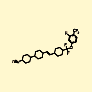 CCCCC1CCC(C2CCC(/C=C/C3CCC(C(F)(F)Oc4ccc(C(F)(F)F)c(F)c4)CC3)CC2)CC1